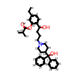 CCc1ccc(C(O)CCCN2CCC(C(O)(c3ccccc3)c3ccccc3)CC2)c(OC(=O)C(C)C)c1